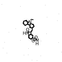 CCn1c2ccccc2c2cc(C=C3C(=O)Nc4ccc(S(=O)(=O)NC)cc43)ccc21